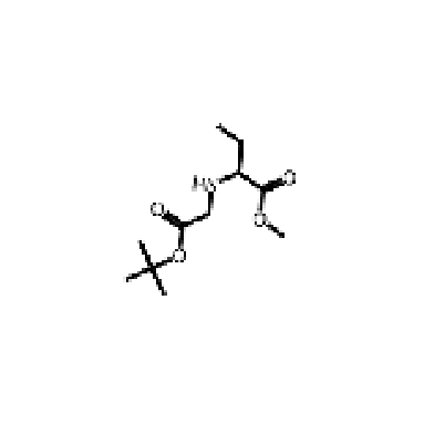 CCC(NCC(=O)OC(C)(C)C)C(=O)OC